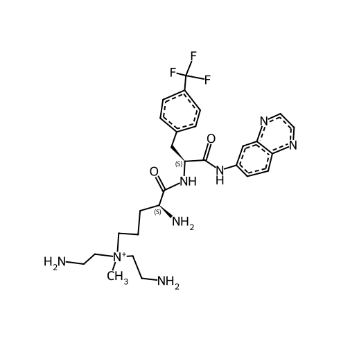 C[N+](CCN)(CCN)CCC[C@H](N)C(=O)N[C@@H](Cc1ccc(C(F)(F)F)cc1)C(=O)Nc1ccc2nccnc2c1